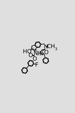 CN(Cc1ccc2c(c1)[C@@H](NC(=O)Oc1ccc(-c3ccccc3)cc1F)[C@H](O)C2)c1cnc(-c2ccccc2)o1